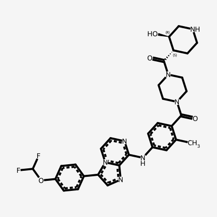 Cc1cc(Nc2nccn3c(-c4ccc(OC(F)F)cc4)cnc23)ccc1C(=O)N1CCN(C(=O)[C@H]2CCNC[C@@H]2O)CC1